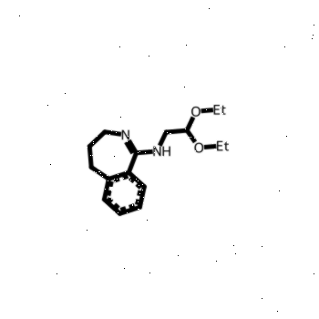 CCOC(CNC1=NCCCc2ccccc21)OCC